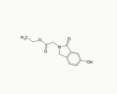 CCOC(=O)CN1Cc2ccc(O)cc2C1=O